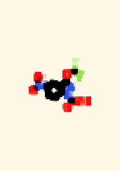 O=C(O)n1nc(OC(F)F)c2cc([N+](=O)[O-])ccc21